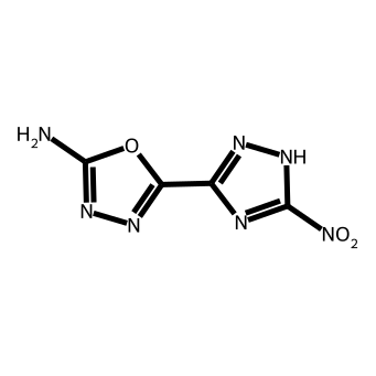 Nc1nnc(-c2n[nH]c([N+](=O)[O-])n2)o1